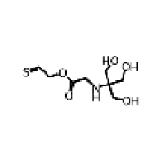 O=C(CNC(CO)(CO)CO)OCC=S